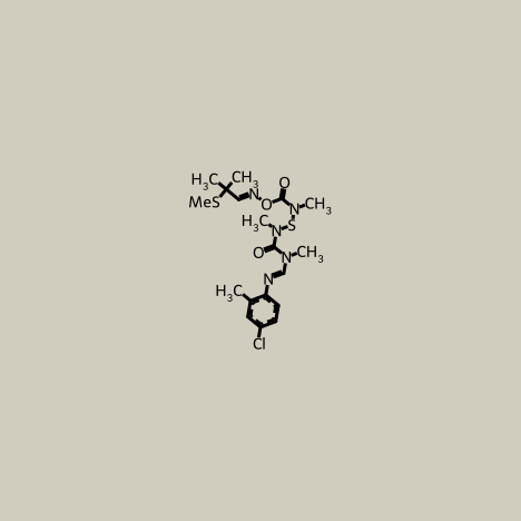 CSC(C)(C)C=NOC(=O)N(C)SN(C)C(=O)N(C)C=Nc1ccc(Cl)cc1C